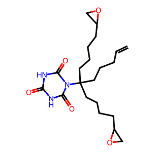 C=CCCCC(CCCCC1CO1)(CCCCC1CO1)n1c(=O)[nH]c(=O)[nH]c1=O